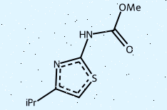 COC(=O)Nc1nc(C(C)C)cs1